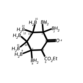 BC1(B)C(=O)C(C(=O)OCC)C(B)(B)C(B)(B)C1(B)B